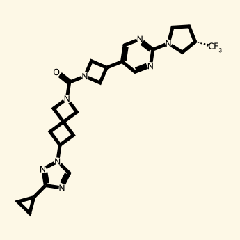 O=C(N1CC(c2cnc(N3CC[C@H](C(F)(F)F)C3)nc2)C1)N1CC2(CC(n3cnc(C4CC4)n3)C2)C1